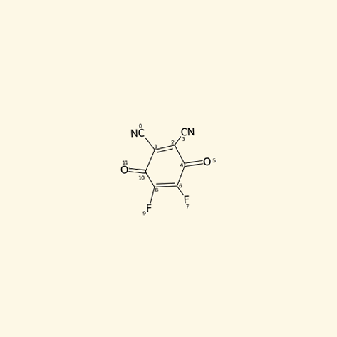 N#CC1=C(C#N)C(=O)C(F)=C(F)C1=O